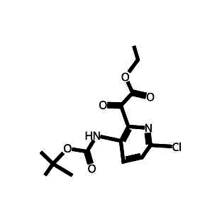 CCOC(=O)C(=O)c1nc(Cl)ccc1NC(=O)OC(C)(C)C